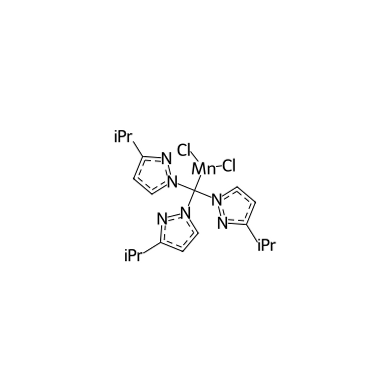 CC(C)c1ccn([C](n2ccc(C(C)C)n2)(n2ccc(C(C)C)n2)[Mn]([Cl])[Cl])n1